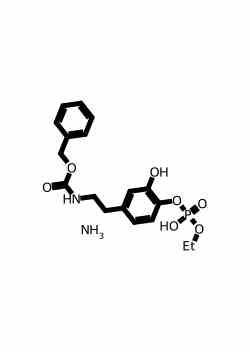 CCOP(=O)(O)Oc1ccc(CCNC(=O)OCc2ccccc2)cc1O.N